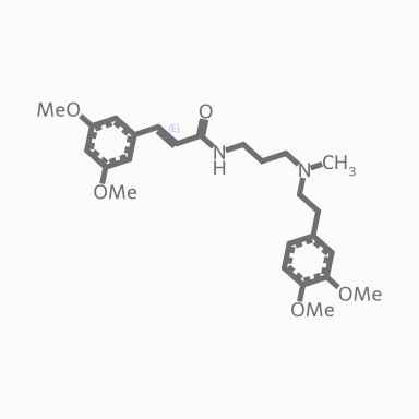 COc1cc(/C=C/C(=O)NCCCN(C)CCc2ccc(OC)c(OC)c2)cc(OC)c1